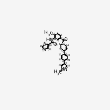 Cc1ccc(C(=O)N2CCC(c3ccc(-c4cnn(C)c4)cc3)CC2)cc1NC(=O)c1cncs1